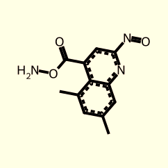 Cc1cc(C)c2c(C(=O)ON)cc(N=O)nc2c1